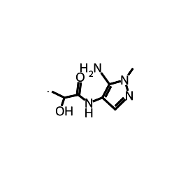 [CH2]C(O)C(=O)Nc1cnn(C)c1N